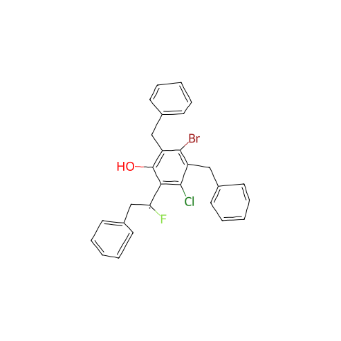 Oc1c(Cc2ccccc2)c(Br)c(Cc2ccccc2)c(Cl)c1[C](F)Cc1ccccc1